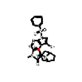 CN1C(=O)C2(CC3CCC(C2)N3C(=O)OC(C)(C)C)c2c1cnc1c2c(Br)cn1S(=O)(=O)c1ccccc1